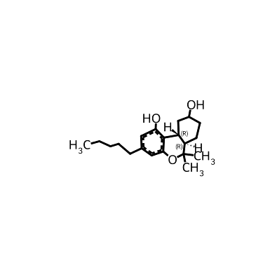 CCCCCc1cc(O)c2c(c1)OC(C)(C)[C@@H]1CCC(O)C[C@@H]21